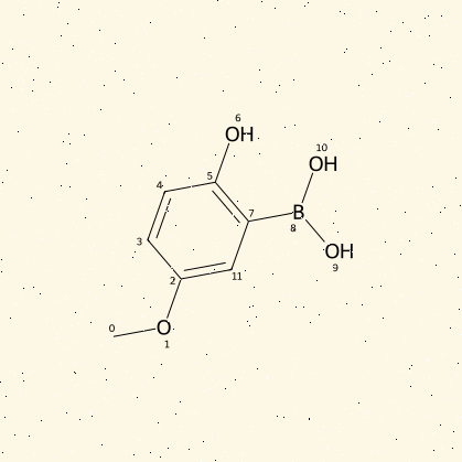 COc1ccc(O)c(B(O)O)c1